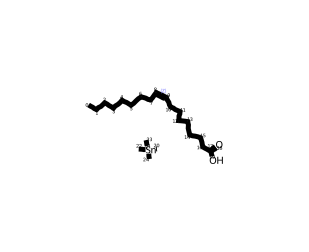 CCCCCCCC/C=C\CCCCCCCC(=O)O.[CH3][Sn]([CH3])([CH3])[CH3]